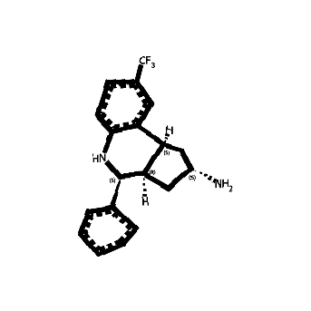 N[C@@H]1C[C@@H]2[C@H](C1)c1cc(C(F)(F)F)ccc1N[C@@H]2c1ccccc1